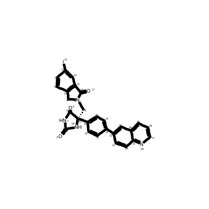 O=C1NC(=O)[C@@](CN2Cc3ccc(I)cc3C2=O)(c2ccc(-c3ccc4ncccc4c3)cc2)N1